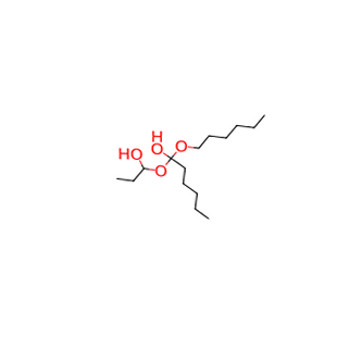 CCCCCCOC(O)(CCCCC)OC(O)CC